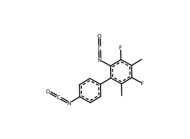 Cc1c(F)c(C)c(-c2ccc(N=C=O)cc2)c(N=C=O)c1F